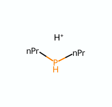 CCCPCCC.[H+]